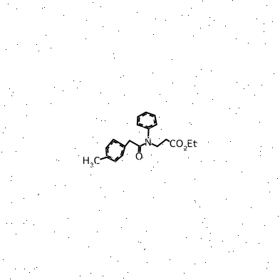 CCOC(=O)CCN(C(=O)Cc1ccc(C)cc1)c1ccccc1